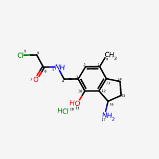 Cc1cc(CNC(=O)CCl)c(O)c2c1CCC2N.Cl